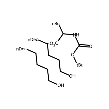 CCCCC(NC(=O)OC(C)(C)C)C(=O)O.CCCCCCCCCCCCCCO.CCCCCCCCCCCCCCO